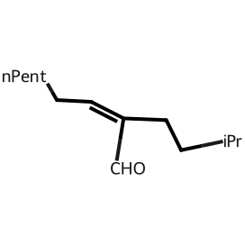 CCCCCC/C=C(\C=O)CCC(C)C